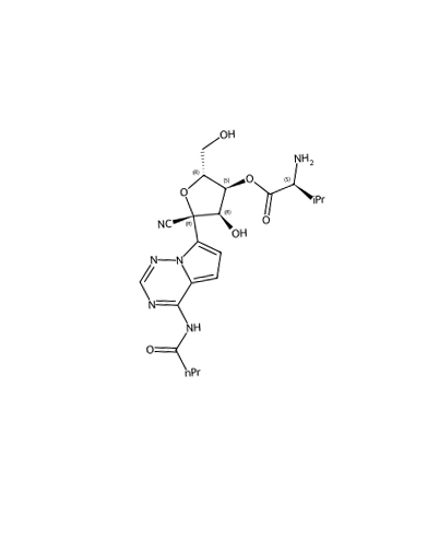 CCCC(=O)Nc1ncnn2c([C@]3(C#N)O[C@H](CO)[C@@H](OC(=O)[C@@H](N)C(C)C)[C@H]3O)ccc12